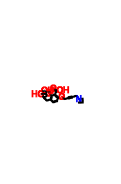 O=C(O)c1c(OCC#CCN2CCC2)ccc2c1O[B-](O)(O)CC2